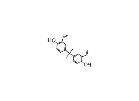 C=Cc1cc(C(C)(C)c2ccc(O)c(C=C)c2)ccc1O